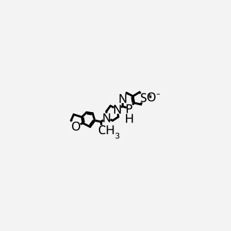 CC(c1ccc2c(c1)OCC2)N1CCN(C2N=CC3=C(C[S+]([O-])C3)P2)CC1